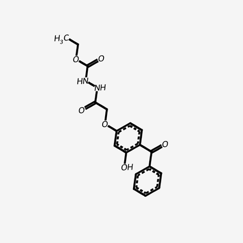 CCOC(=O)NNC(=O)COc1ccc(C(=O)c2ccccc2)c(O)c1